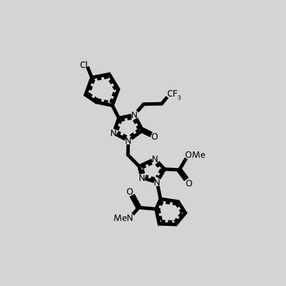 CNC(=O)c1ccccc1-n1nc(Cn2nc(-c3ccc(Cl)cc3)n(CCC(F)(F)F)c2=O)nc1C(=O)OC